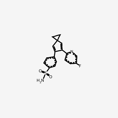 NS(=O)(=O)c1ccc(C2=CC3(C=C2c2ccc(F)cn2)CC3)cc1